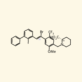 COc1cc(/C(Br)=C/c2cccc(-c3ccccc3)c2C)c(C(F)(F)F)cc1CN1CCCC[C@H]1C(=O)O